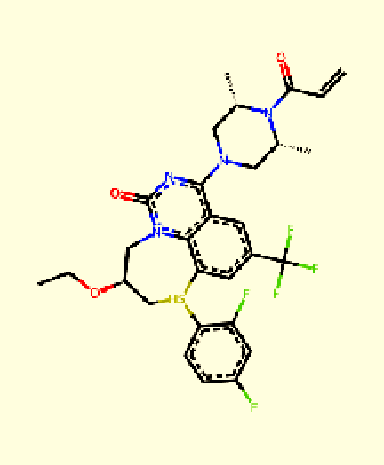 C=CC(=O)N1[C@H](C)CN(c2nc(=O)n3c4c(cc(C(F)(F)F)cc24)[SH](c2ccc(F)cc2F)C[C@@H](OCC)C3)C[C@@H]1C